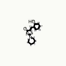 O=C1N=C(N2CCCCCC2)S/C1=C\c1ccccc1O